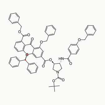 CC(C)(C)OC(=O)N1C[C@@H](NC(=O)c2ccc(OCc3ccccc3)cc2)[C@H](OC(=O)c2cc(OCc3ccccc3)c(C(=O)c3c(OCc4ccccc4)cccc3C(=O)OCc3ccccc3)c(OCc3ccccc3)c2)C1